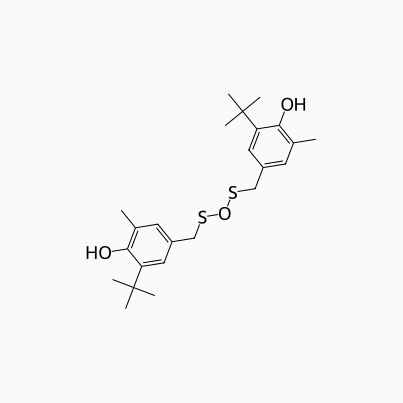 Cc1cc(CSOSCc2cc(C)c(O)c(C(C)(C)C)c2)cc(C(C)(C)C)c1O